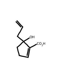 C=CCC1(O)CCC=C1C(=O)O